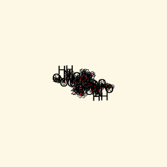 O=C(CCNC(=O)C(Cc1ccncc1)N1C(=O)c2cc(Oc3ccccc3)c3c4c(Oc5ccccc5)cc5c6c(cc(Oc7ccccc7)c(c7c(Oc8ccccc8)cc(c2c37)C1=O)c64)C(=O)N(C(Cc1ccncc1)C(=O)NCCC(=O)NCC1CO1)C5=O)NCC1CO1